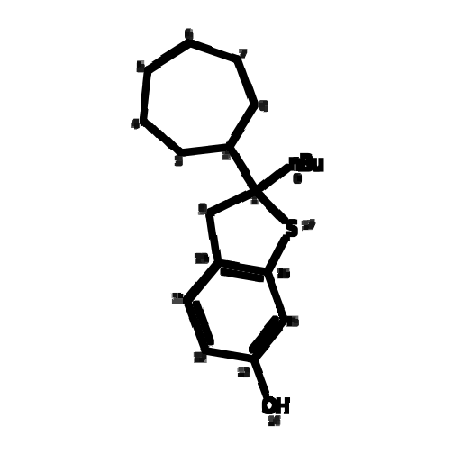 CCCCC1(C2CCCCCC2)Cc2ccc(O)cc2S1